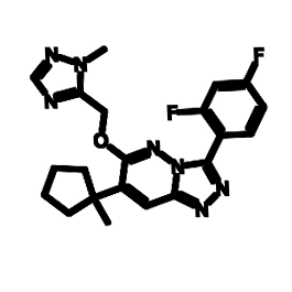 Cn1ncnc1COc1nn2c(-c3ccc(F)cc3F)nnc2cc1C1(C)CCCC1